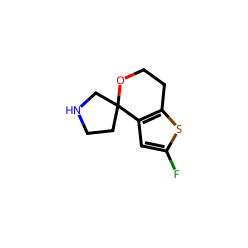 Fc1cc2c(s1)CCOC21CCNC1